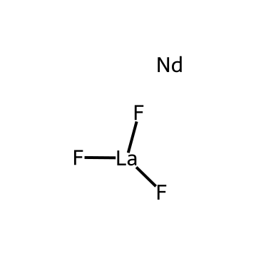 [F][La]([F])[F].[Nd]